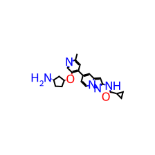 Cc1cc(-c2ccn3nc(NC(=O)C4CC4)cc3c2)c(O[C@@H]2CC[C@H](N)C2)cn1